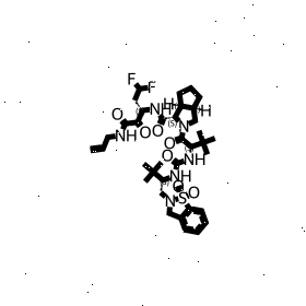 C=CCNC(=O)C(=O)[C@H](CC(F)F)NC(=O)[C@@H]1[C@H]2CCC[C@H]2CN1C(=O)[C@@H](NC(=O)N[C@H](CN1Cc2ccccc2S1(=O)=O)C(C)(C)C)C(C)(C)C